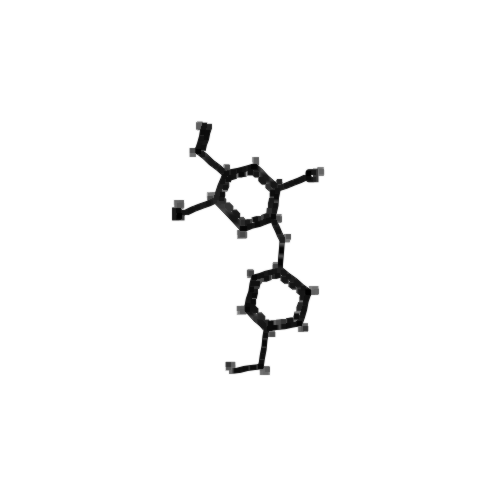 C=Cc1cc(Cl)c(Cc2ccc(CC)cc2)cc1Br